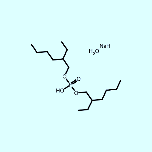 CCCCC(CC)COP(=O)(O)OCC(CC)CCCC.O.[NaH]